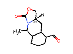 CC1C2CCCC(C=O)C2C[C@H]2COC(=O)N12